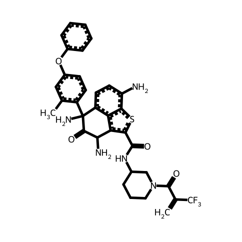 C=C(C(=O)N1CCCC(NC(=O)c2sc3c(N)ccc4c3c2C(N)C(=O)C4(N)c2ccc(Oc3ccccc3)cc2C)C1)C(F)(F)F